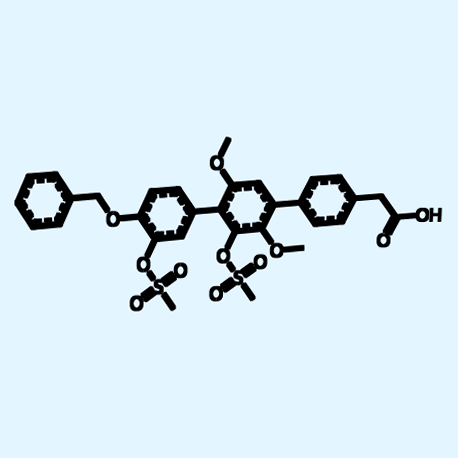 COc1cc(-c2ccc(CC(=O)O)cc2)c(OC)c(OS(C)(=O)=O)c1-c1ccc(OCc2ccccc2)c(OS(C)(=O)=O)c1